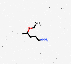 CC(CCCN)OC[SiH3]